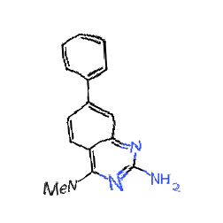 CNc1nc(N)nc2cc(-c3ccccc3)ccc12